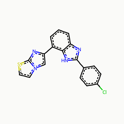 Clc1ccc(-c2nc3cccc(-c4cn5ccsc5n4)c3[nH]2)cc1